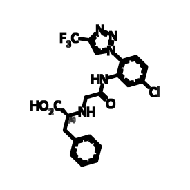 O=C(CN[C@@H](Cc1ccccc1)C(=O)O)Nc1cc(Cl)ccc1-n1cc(C(F)(F)F)nn1